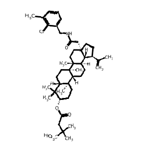 C=C(C)[C@@H]1CC[C@]2(CC(=O)NCc3cccc(C)c3Cl)CC[C@]3(C)[C@H](CC[C@@H]4[C@@]5(C)CC[C@H](OC(=O)CC(C)(C)C(=O)O)C(C)(C)[C@@H]5CC[C@]43C)[C@@H]12